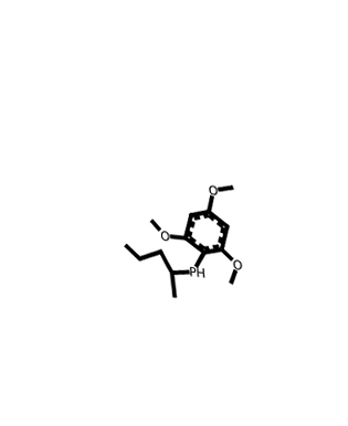 CCCC(C)Pc1c(OC)cc(OC)cc1OC